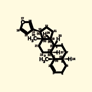 C[C@]12C=CCC[C@@H]1CC[C@H]1[C@H]3CC[C@H](c4ccoc4)[C@@]3(C)CC[C@@H]12